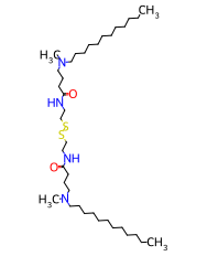 CCCCCCCCCCCCN(C)CCCC(=O)NCCSSCCNC(=O)CCCN(C)CCCCCCCCCCCC